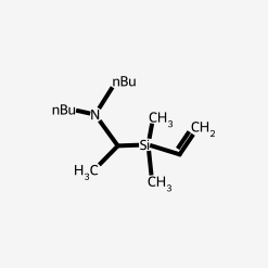 C=C[Si](C)(C)C(C)N(CCCC)CCCC